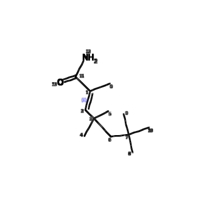 C/C(=C\C(C)(C)CC(C)(C)C)C(N)=O